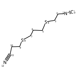 [C-]#[N+]CCSCCCSCCC#N